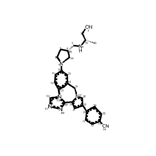 C[C@@H](CO)NC[C@H]1CCN(c2ccc3c(c2)Cn2cc(-c4ccc(C#N)cc4)cc2-c2nncn2-3)C1